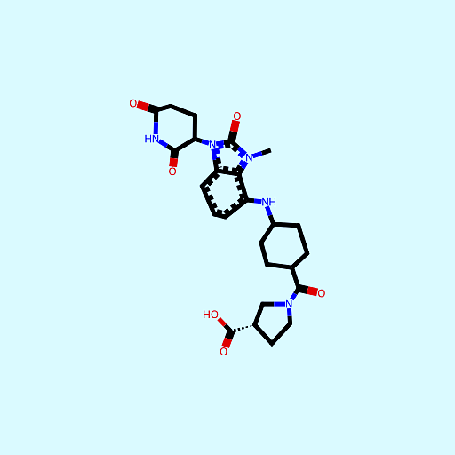 Cn1c(=O)n(C2CCC(=O)NC2=O)c2cccc(NC3CCC(C(=O)N4CC[C@H](C(=O)O)C4)CC3)c21